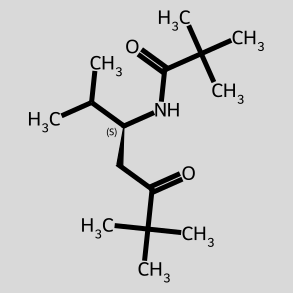 CC(C)[C@H](CC(=O)C(C)(C)C)NC(=O)C(C)(C)C